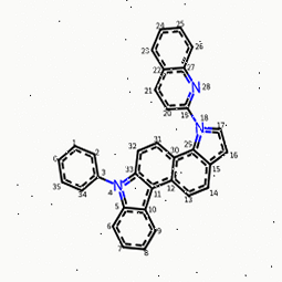 c1ccc(-n2c3ccccc3c3c4ccc5ccn(-c6ccc7ccccc7n6)c5c4ccc32)cc1